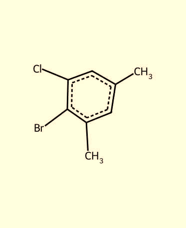 Cc1cc(C)c(Br)c(Cl)c1